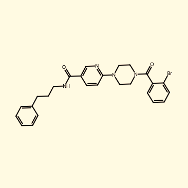 O=C(NCCCc1ccccc1)c1ccc(N2CCN(C(=O)c3ccccc3Br)CC2)nc1